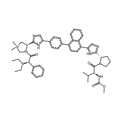 CCN(CC)[C@@H](C(=O)N1C[Si](C)(C)C[C@H]1c1ncc(-c2ccc(-c3ccc(-c4cnc([C@@H]5CCCN5C(=O)[C@@H](NC(=O)OC)C(C)C)[nH]4)c4ccccc34)cc2)[nH]1)c1ccccc1